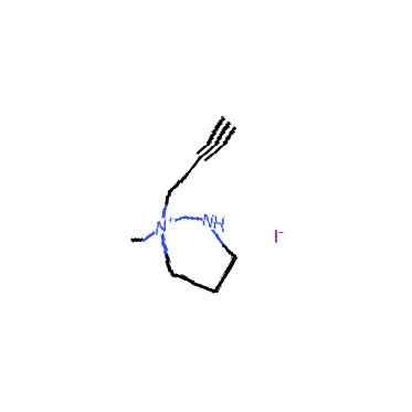 C#CC[N+]1(C)CCCN1.[I-]